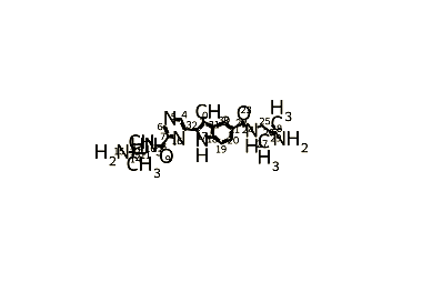 Cc1c(-c2cncc(C(=O)NCC(C)(C)N)n2)[nH]c2ccc(C(=O)NCC(C)(C)N)cc12